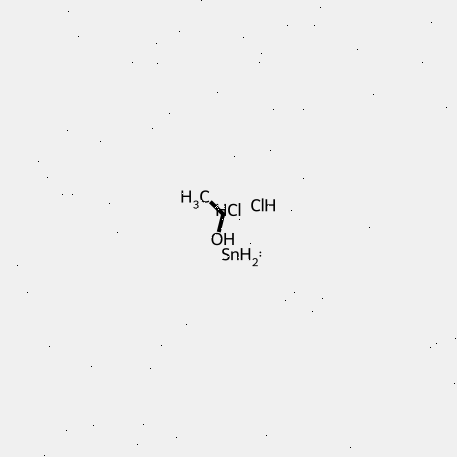 CCO.Cl.Cl.[SnH2]